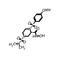 COc1ccc(S(=O)(=O)N2CCN(S(=O)(=O)N(C)C)C[C@@H]2C(=O)NO)cc1